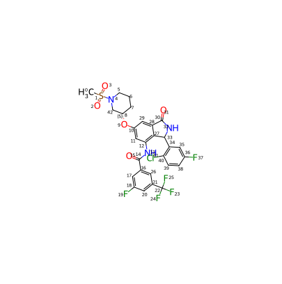 CS(=O)(=O)N1CCC[C@H](Oc2cc(NC(=O)c3cc(F)cc(C(F)(F)F)c3)c3c(c2)C(=O)NC3c2cc(F)ccc2Cl)C1